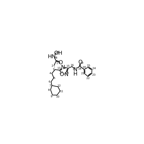 O=C(C[C@@H](CCCC1CCCCC1)c1nc(CNC(=O)c2ccccc2)no1)NO